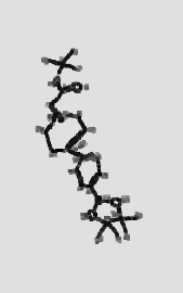 CC(C)(C)OC(=O)CN1CC=C(c2ccc(B3OC(C)(C)C(C)(C)O3)cc2)CC1